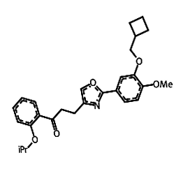 COc1ccc(-c2nc(CCC(=O)c3ccccc3OC(C)C)co2)cc1OCC1CCC1